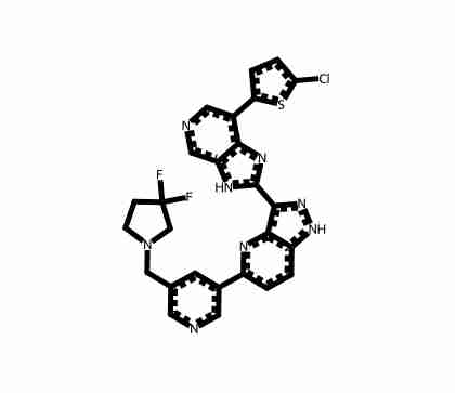 FC1(F)CCN(Cc2cncc(-c3ccc4[nH]nc(-c5nc6c(-c7ccc(Cl)s7)cncc6[nH]5)c4n3)c2)C1